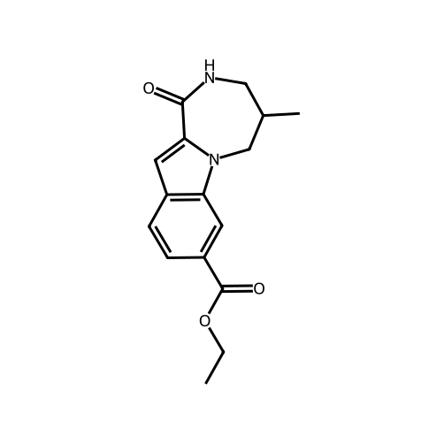 CCOC(=O)c1ccc2cc3n(c2c1)CC(C)CNC3=O